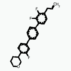 C=CCc1ccc(-c2ccc(-c3ccc(C4CCCOC4)c(F)c3)cc2)c(F)c1F